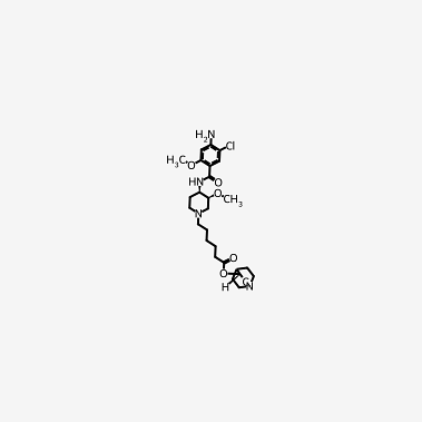 COc1cc(N)c(Cl)cc1C(=O)N[C@@H]1CCN(CCCCCC(=O)O[C@H]2CN3CCC2CC3)C[C@@H]1OC